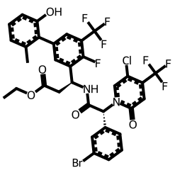 CCOC(=O)C[C@H](NC(=O)[C@@H](c1cccc(Br)c1)n1cc(Cl)c(C(F)(F)F)cc1=O)c1cc(-c2c(C)cccc2O)cc(C(F)(F)F)c1F